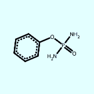 NP(N)(=O)Oc1ccccc1